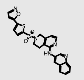 O=S(=O)(c1ccc(-c2ccno2)s1)N1CCc2c(ccnc2Nc2cnc3ccccc3c2)C1